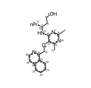 CCC[C@@H](CCO)Nc1nc(C)nc(C)c1OCc1nccc2ccccc12